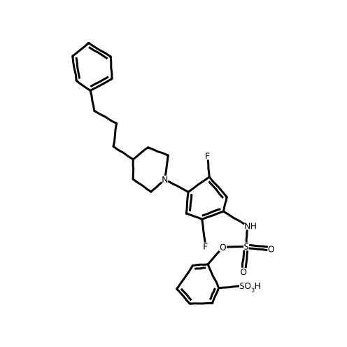 O=S(=O)(Nc1cc(F)c(N2CCC(CCCc3ccccc3)CC2)cc1F)Oc1ccccc1S(=O)(=O)O